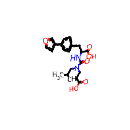 CC(C)CN(CCC(=O)O)C(=O)NC(Cc1ccc(-c2ccoc2)cc1)C(=O)O